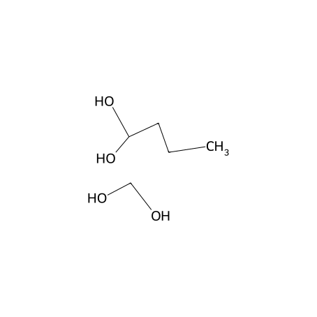 CCCC(O)O.OCO